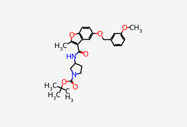 COc1cccc(COc2ccc3oc(C)c(C(=O)NC4CCN(C(=O)OC(C)(C)C)C4)c3c2)c1